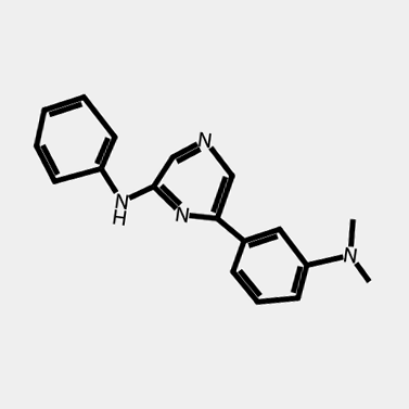 CN(C)c1cccc(-c2cncc(Nc3ccccc3)n2)c1